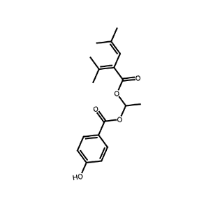 CC(C)=CC(C(=O)OC(C)OC(=O)c1ccc(O)cc1)=C(C)C